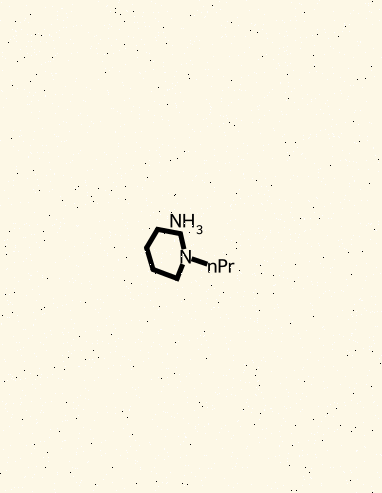 CCCN1CCCCC1.N